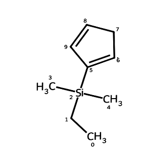 CC[Si](C)(C)C1=[C]CC=C1